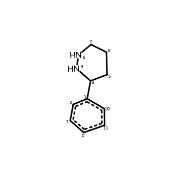 c1ccc(C2CCCNN2)cc1